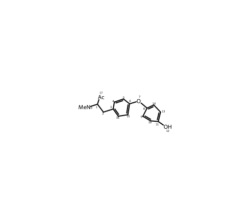 CNC(Cc1ccc(Oc2ccc(O)cc2)cc1)C(C)=O